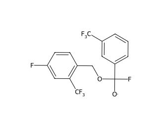 [O]C(F)(OCc1ccc(F)cc1C(F)(F)F)c1cccc(C(F)(F)F)c1